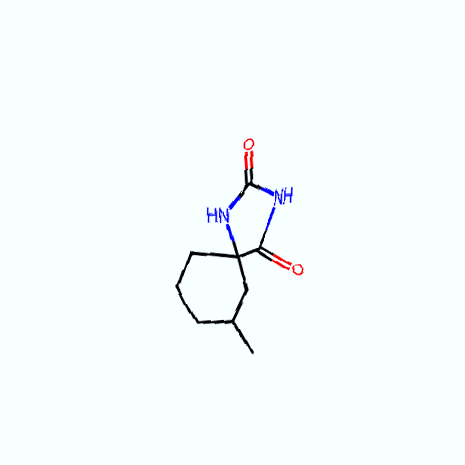 CC1CCCC2(C1)NC(=O)NC2=O